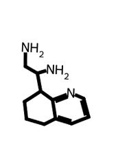 NCC(N)C1CCCc2cccnc21